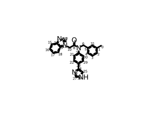 Cc1cccc(CN(C(=O)Cn2nnc3ccccc32)c2ccc(-c3c[nH]cn3)cc2)c1